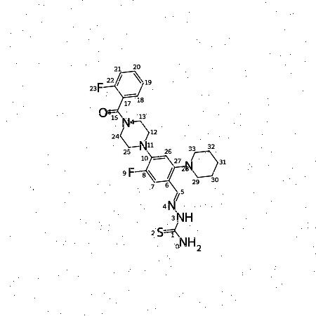 NC(=S)N/N=C/c1cc(F)c(N2CCN(C(=O)c3ccccc3F)CC2)cc1N1CCCCC1